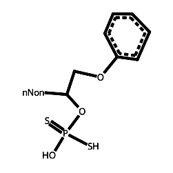 CCCCCCCCCC(COc1ccccc1)OP(O)(=S)S